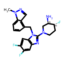 Cn1ncc2c(Cn3c(N4CC[C@@H](F)[C@H](N)C4)nc4cc(F)c(F)cc43)cccc21